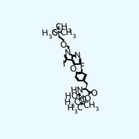 CC(C)(C)OC(O)N[C@@H](Cc1ccc(Oc2ccnc3c2c(I)cn3COCC[Si](C)(C)C)c(F)c1)C(=O)O